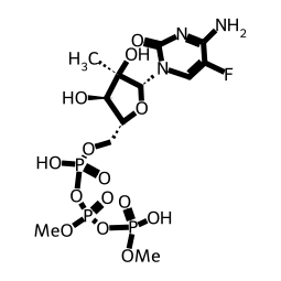 COP(=O)(O)OP(=O)(OC)OP(=O)(O)OC[C@H]1O[C@@H](n2cc(F)c(N)nc2=O)[C@](C)(O)[C@@H]1O